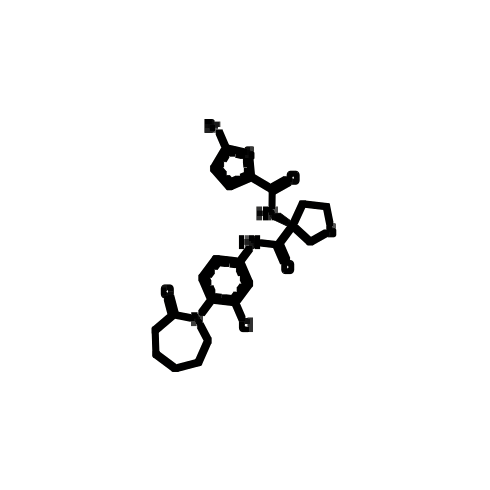 O=C(N[C@@]1(C(=O)Nc2ccc(N3CCCCCC3=O)c(Cl)c2)CCSC1)c1ccc(Br)s1